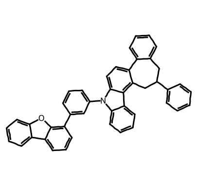 c1ccc(C2Cc3ccccc3-c3ccc4c(c3C2)c2ccccc2n4-c2cccc(-c3cccc4c3oc3ccccc34)c2)cc1